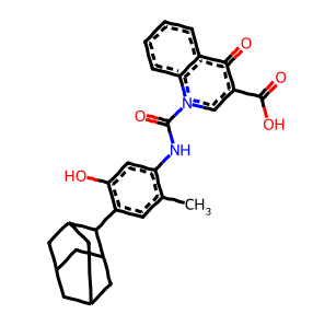 Cc1cc(C2C3CC4CC(C3)CC2C4)c(O)cc1NC(=O)n1cc(C(=O)O)c(=O)c2ccccc21